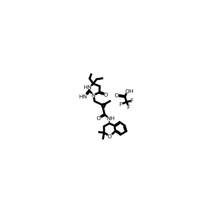 CCC1(CC)CC(=O)N(CC2C(C)C2C(=O)N[C@H]2CC(C)(C)Oc3ccccc32)C(=N)N1.O=C(O)C(F)(F)F